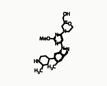 COc1nc(N2CCO[C@H](CO)C2)cc(-n2ncc3cc(C)c(C4CCNC(C)C4)cc32)n1